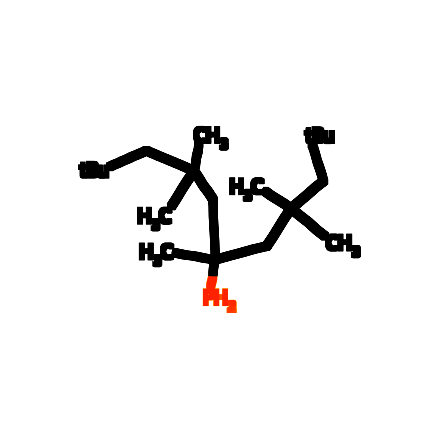 CC(C)(C)CC(C)(C)CC(C)(P)CC(C)(C)CC(C)(C)C